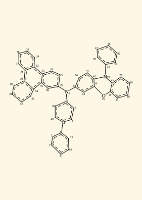 c1ccc(-c2ccc(N(c3ccc4c(c3)Oc3ccccc3N4c3ccccc3)c3ccc4c5ccccc5c5ccccc5c4c3)cc2)cc1